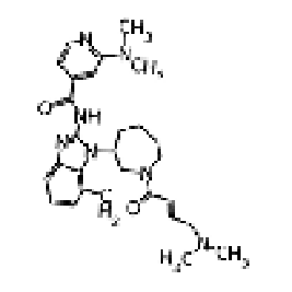 Cc1cccc2nc(NC(=O)c3ccnc(N(C)C)c3)n(C3CCCCN(C(=O)C=CCN(C)C)C3)c12